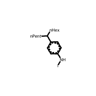 CCCCCCC(CCCCC)c1ccc(NI)cc1